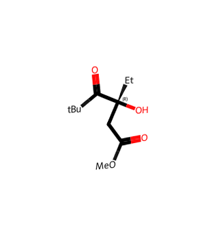 CC[C@@](O)(CC(=O)OC)C(=O)C(C)(C)C